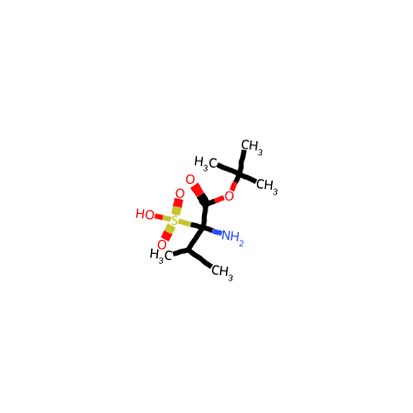 CC(C)C(N)(C(=O)OC(C)(C)C)S(=O)(=O)O